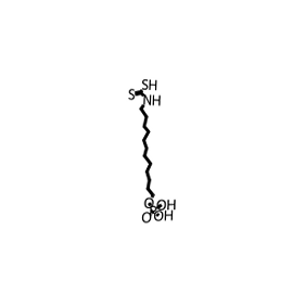 O=P(O)(O)OCCCCCCCCCCCCNC(=S)S